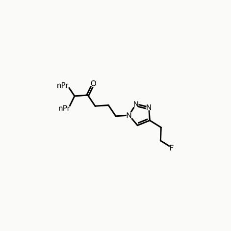 CCCC(CCC)C(=O)CCCn1cc(CCF)nn1